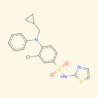 O=S(=O)(Nc1nccs1)c1ccc(N(CC2CC2)c2ccccc2)c(Cl)c1